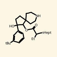 CCCCCCCC(CC)C(=O)OC1C2(CCNCC2)CCC1(O)c1cccc(C(C)(C)C)c1